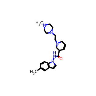 Cc1ccc2c(ccn2NC(=O)C2C=CCN(CCN3CCN(C)CC3)C2)c1